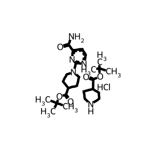 CC(C)(C)OC(=O)C1CCN(c2nccc(C(N)=O)n2)CC1.CC(C)(C)OC(=O)C1CCNCC1.Cl